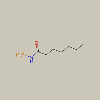 CCCCCCC(=O)NP